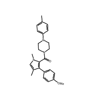 COc1ccc(-c2c(C)cn(C)c2C(=O)N2CCN(c3ccc(C)cc3)CC2)cc1